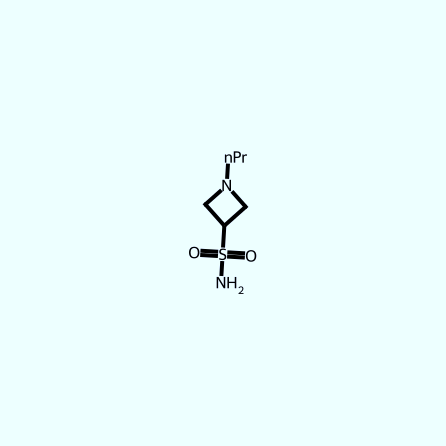 CCCN1CC(S(N)(=O)=O)C1